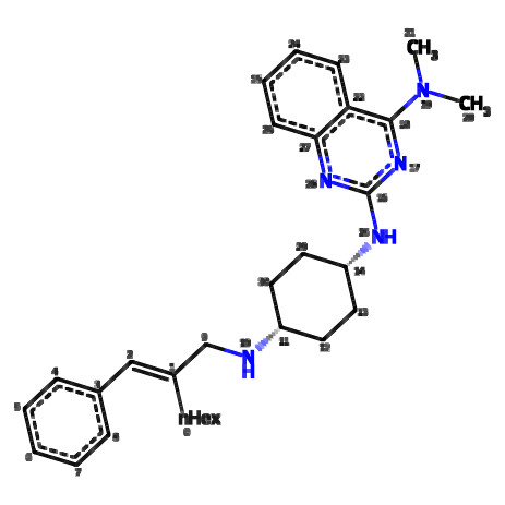 CCCCCC/C(=C\c1ccccc1)CN[C@H]1CC[C@@H](Nc2nc(N(C)C)c3ccccc3n2)CC1